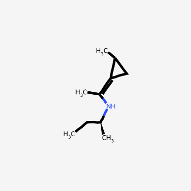 CC[C@H](C)N/C(C)=C1\CC1C